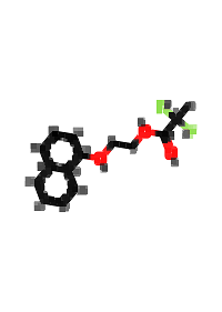 CC(F)(F)C(=O)OCCOc1cccc2ccccc12